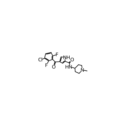 CN1CCC(NC(=O)c2cc(C(=O)c3c(F)ccc(Cl)c3F)c[nH]2)CC1